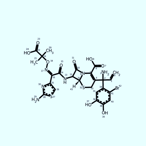 C=CC(N)(C1=C(C(=O)O)N2C(=O)C(NC(=O)/C(=N\OC(C)(C)C(=O)O)c3csc(N)n3)[C@H]2SC1)c1cc(O)c(O)cc1Br